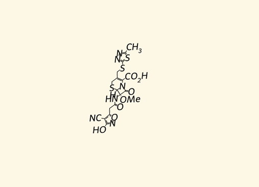 CO[C@@]1(NC(=O)Cc2onc(O)c2C#N)C(=O)N2C(C(=O)O)=C(CSc3nnc(C)s3)CS[C@H]21